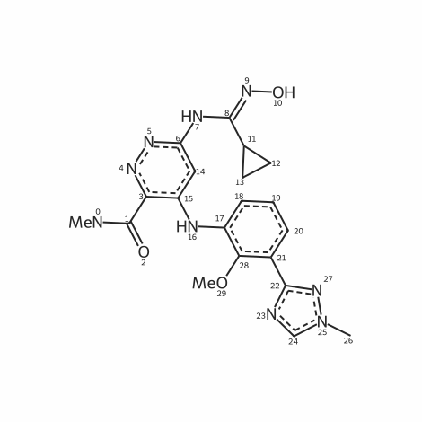 CNC(=O)c1nnc(N/C(=N/O)C2CC2)cc1Nc1cccc(-c2ncn(C)n2)c1OC